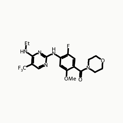 CCNc1nc(Nc2cc(OC)c(C(=O)N3CCOCC3)cc2F)ncc1C(F)(F)F